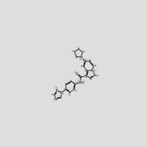 O=C(Nc1ccc(-n2cncn2)nc1)c1cnn2ccc(N3CCCC3)cc12